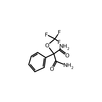 NC(=O)C(OC(F)(F)F)(C(N)=O)c1ccccc1